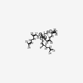 CCCCCCCCCCCC[Si](OCC=C(C)CCC=C(C)C)(OCC=C(C)CCC=C(C)C)OCC=C(C)CCC=C(C)C